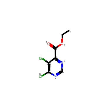 CCOC(=O)c1ncnc(Cl)c1Br